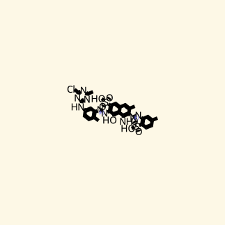 Cc1ccc(S(=O)(=O)O)c(/N=N/c2c(C)cc3cc(S(=O)(=O)O)c(/N=N/c4cc(Nc5nc(C)nc(Cl)n5)ccc4C)c(O)c3c2N)c1